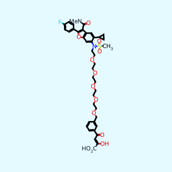 CNC(=O)c1c(-c2ccc(F)cc2)oc2cc(N(CCOCCOCCOCCOCCOCc3cccc(C(=O)C=C(O)C(=O)O)c3)S(C)(=O)=O)c(C3CC3)cc12